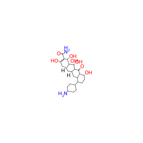 NC(=O)C1=C(O)C[C@@H]2C[C@@H]3CC4C(C5CCC(N)CC5)CCC(O)C4C(=O)C3C(O)[C@]2(O)C1O